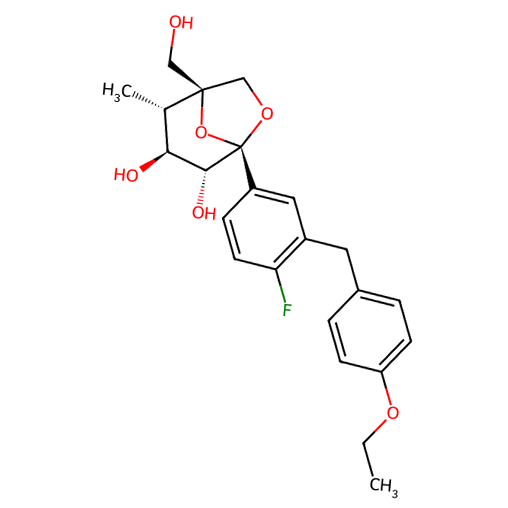 CCOc1ccc(Cc2cc([C@]34OC[C@](CO)(O3)[C@@H](C)[C@H](O)[C@H]4O)ccc2F)cc1